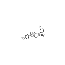 Oc1ccc(C(O)CN2CCC(O)(c3cccc(F)c3)CC2)cc1